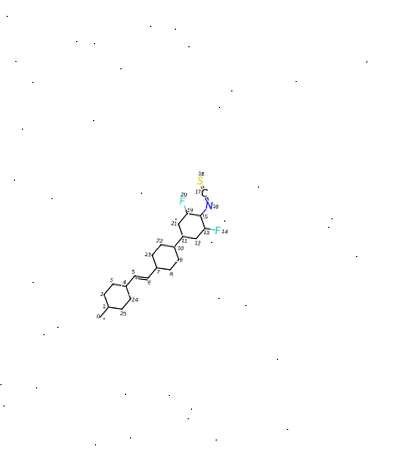 CC1CCC(C=CC2CCC(C3CC(F)C(N=C=S)C(F)C3)CC2)CC1